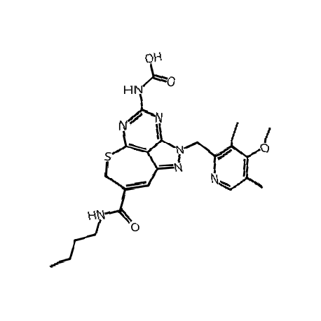 CCCCNC(=O)C1=Cc2nn(Cc3ncc(C)c(OC)c3C)c3nc(NC(=O)O)nc(c23)SC1